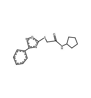 O=C(CSc1nc(-c2ccccc2)no1)NC1CCCC1